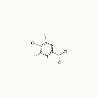 Fc1nc(C(Cl)Cl)nc(F)c1Cl